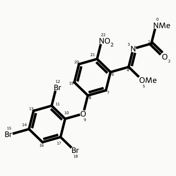 CNC(=O)N=C(OC)c1cc(Oc2c(Br)cc(Br)cc2Br)ccc1[N+](=O)[O-]